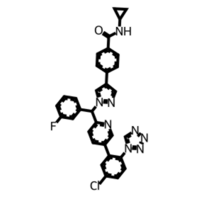 O=C(NC1CC1)c1ccc(-c2cnn(C(c3cccc(F)c3)c3ccc(-c4cc(Cl)ccc4-n4cnnn4)cn3)c2)cc1